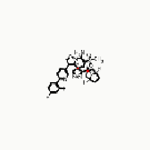 CS(=O)(=O)c1c([C@@H]2C[C@H]3CC[C@@H](C2)N3C(=O)c2nnc[nH]2)nc2c(-c3ccc(-c4ccc(F)cc4F)nc3)cnn2c1N